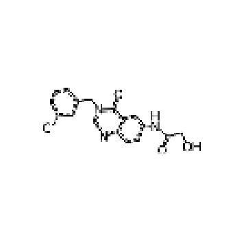 O=C(CO)Nc1ccc2ncn(Cc3cccc(Cl)c3)c(=O)c2c1